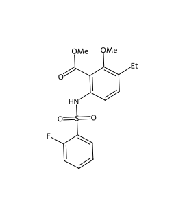 CCc1ccc(NS(=O)(=O)c2ccccc2F)c(C(=O)OC)c1OC